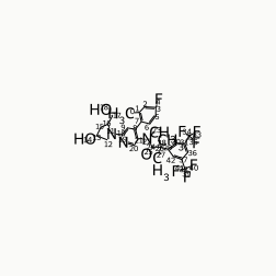 Cc1cc(F)ccc1-c1cc(N2CC(O)CC2CO)ncc1N(C)C(=O)C(C)(C)c1cc(C(F)(F)F)cc(C(F)(F)F)c1